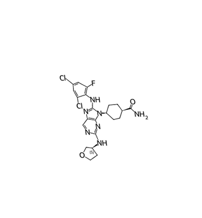 NC(=O)[C@H]1CC[C@@H](n2c(Nc3c(F)cc(Cl)cc3Cl)nc3cnc(N[C@H]4CCOC4)nc32)CC1